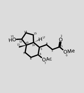 COC(=O)CCC1C(OC(C)=O)CC[C@]2(C)C(O)CC[C@@H]12